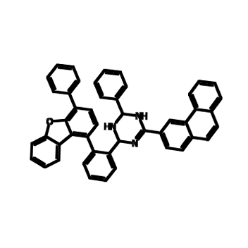 c1ccc(-c2ccc(-c3ccccc3C3N=C(c4ccc5ccc6ccccc6c5c4)NC(c4ccccc4)N3)c3c2oc2ccccc23)cc1